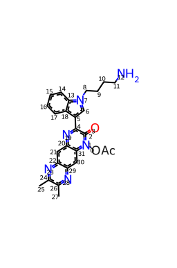 CC(=O)On1c(=O)c(-c2cn(CCCCN)c3ccccc23)nc2cc3nc(C)c(C)nc3cc21